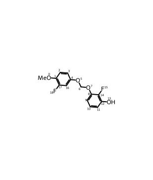 COc1ccc(OCOc2cccc(O)c2F)cc1F